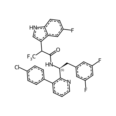 O=C(N[C@@H](Cc1cc(F)cc(F)c1)c1ncccc1-c1ccc(Cl)cc1)C(c1c[nH]c2ccc(F)cc12)C(F)(F)F